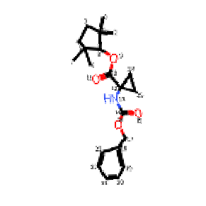 CC1(C)CCC(C)(C)C1OC(=O)C1(NC(=O)OCc2ccccc2)CC1